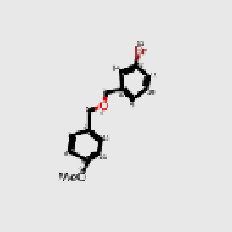 COc1ccc(COCc2cccc(Br)c2)cc1